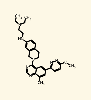 CCN(CC)CCNc1ccc2c(c1)CN(c1ncnc3c(C)cc(-c4ccc(OC)nn4)cc13)CC2